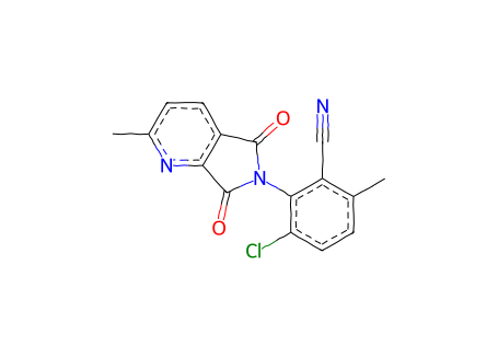 Cc1ccc2c(n1)C(=O)N(c1c(Cl)ccc(C)c1C#N)C2=O